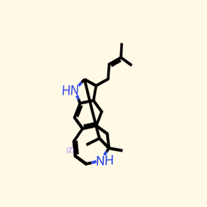 CC(C)=CCC1C2CC3=C4C=C2NC1C(C)C(C)(C3)NC/C=C\4